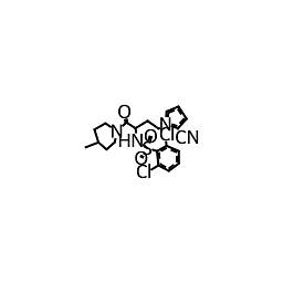 CC1CCN(C(=O)C(CCn2cccc2C#N)NS(=O)(=O)c2c(Cl)cccc2Cl)CC1